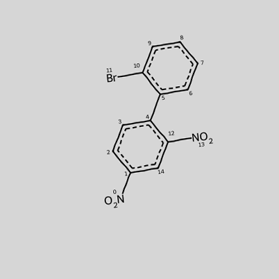 O=[N+]([O-])c1ccc(-c2ccccc2Br)c([N+](=O)[O-])c1